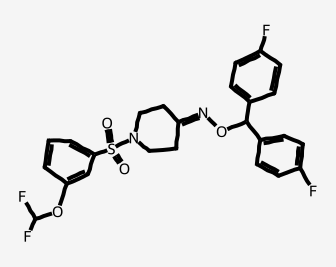 O=S(=O)(c1cccc(OC(F)F)c1)N1CCC(=NOC(c2ccc(F)cc2)c2ccc(F)cc2)CC1